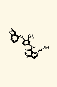 Cc1cc(Nc2ncnc3ccn(CCO)c23)ccc1Oc1cccc2sncc12